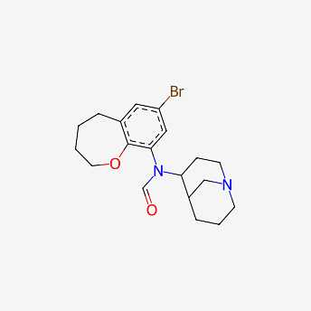 O=CN(c1cc(Br)cc2c1OCCCC2)C1CCN2CCCC1C2